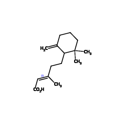 C=C1CCCC(C)(C)C1CC/C(C)=C/C(=O)O